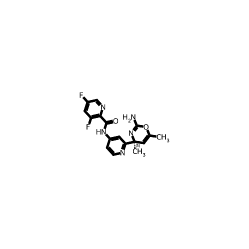 CC1=C[C@@](C)(c2cc(NC(=O)c3ncc(F)cc3F)ccn2)N=C(N)O1